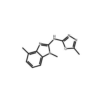 Cc1nnc(Nc2nc3c(C)cccc3n2C)o1